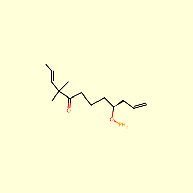 C=CC[C@H](CCCC(=O)C(C)(C)/C=C/C)OP